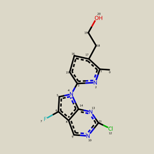 Cc1nc(-n2cc(F)c3cnc(Cl)nc32)ccc1CCO